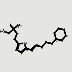 CC(N)(CO)CCc1ccc(/C=C/CCCC2CCCCC2)s1